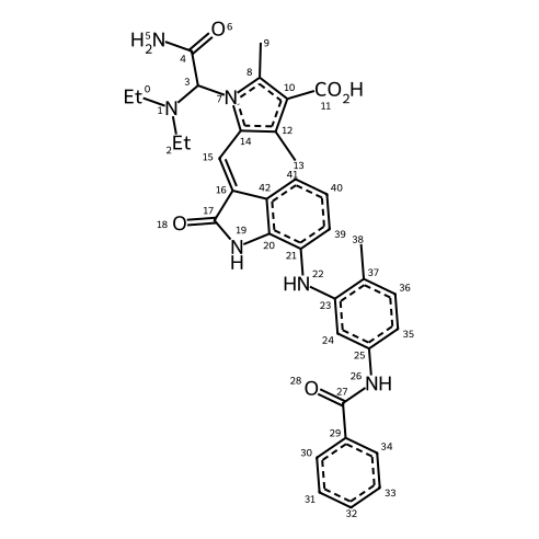 CCN(CC)C(C(N)=O)n1c(C)c(C(=O)O)c(C)c1C=C1C(=O)Nc2c(Nc3cc(NC(=O)c4ccccc4)ccc3C)cccc21